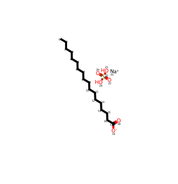 CCCCCCCCCCCCCCCCCC(=O)[O-].O=S(=O)(O)O.[Na+]